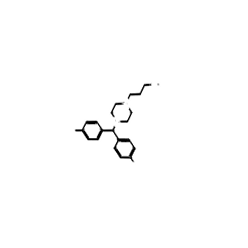 OCCCN1CCN(C(c2ccc(F)cc2)c2ccc(F)cc2)CC1